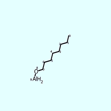 CCCCCCCC[O][AlH2]